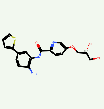 Nc1ccc(-c2cccs2)cc1NC(=O)c1ccc(OC[C@H](O)CO)cn1